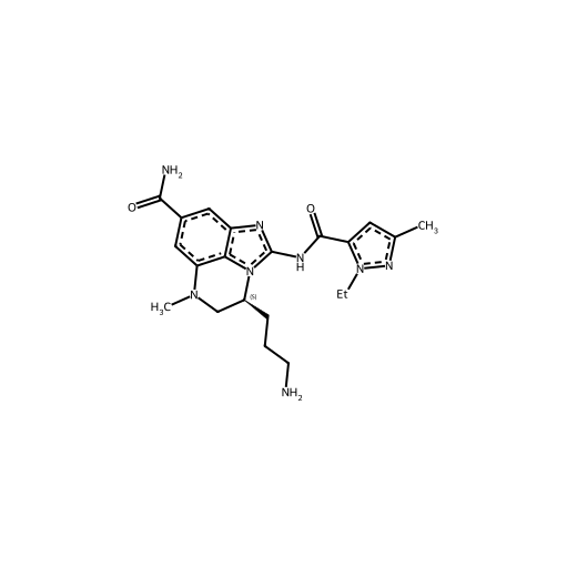 CCn1nc(C)cc1C(=O)Nc1nc2cc(C(N)=O)cc3c2n1[C@@H](CCCN)CN3C